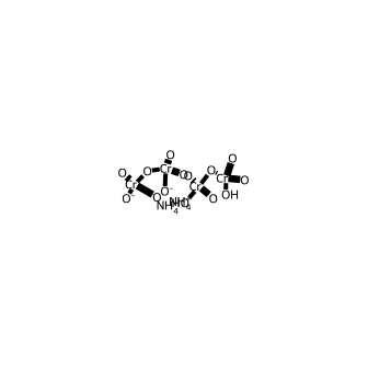 [NH4+].[NH4+].[O]=[Cr](=[O])([O-])[O][Cr](=[O])(=[O])[O-].[O]=[Cr](=[O])([OH])[O][Cr](=[O])(=[O])[OH]